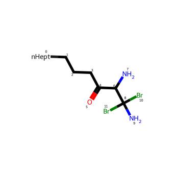 CCCCCCCCCCC(=O)C(N)C(N)(Br)Br